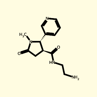 CN1C(=O)C[C@H](C(=O)NCCN)[C@H]1c1cccnc1